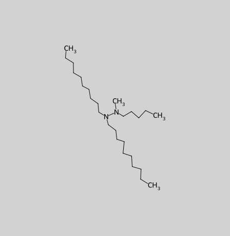 CCCCCCCCCCN(CCCCCCCCCC)N(C)CCCCC